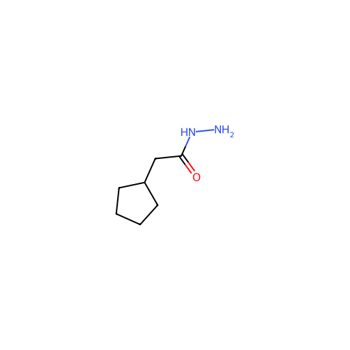 NNC(=O)CC1CCCC1